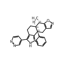 C[C@@H]1c2oncc2C[C@]2(c3ccccc3)c3n[nH]c(-c4ccnnc4)c3CC[C@@H]12